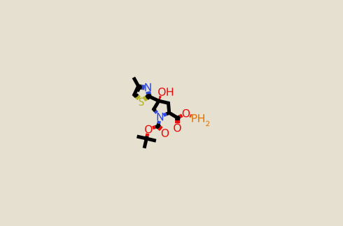 Cc1csc([C@]2(O)CC(C(=O)OP)N(C(=O)OC(C)(C)C)C2)n1